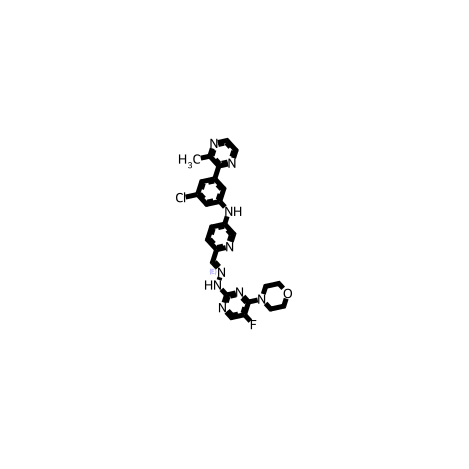 Cc1nccnc1-c1cc(Cl)cc(Nc2ccc(/C=N/Nc3ncc(F)c(N4CCOCC4)n3)nc2)c1